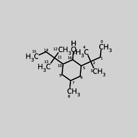 CCC(C)(C)C1CC(C)CC(C(C)(C)CC)C1O